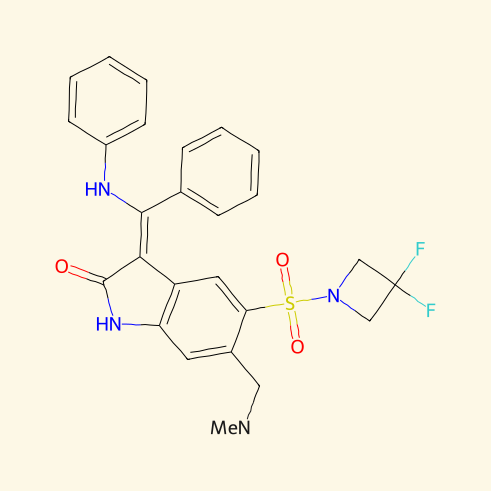 CNCc1cc2c(cc1S(=O)(=O)N1CC(F)(F)C1)/C(=C(/Nc1ccccc1)c1ccccc1)C(=O)N2